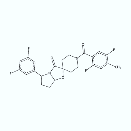 Cc1cc(F)c(C(=O)N2CCC3(CC2)OC2CCC(c4cc(F)cc(F)c4)N2C3=O)cc1F